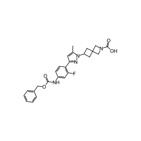 Cc1cc(-c2ccc(NC(=O)OCc3ccccc3)cc2F)nn1C1CC2(C1)CN(C(=O)O)C2